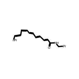 CCC/C=C/C=C\C=C\C=C\C=C\C(=O)NCC(C)C